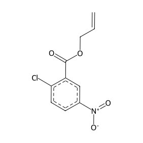 C=CCOC(=O)c1cc([N+](=O)[O-])ccc1Cl